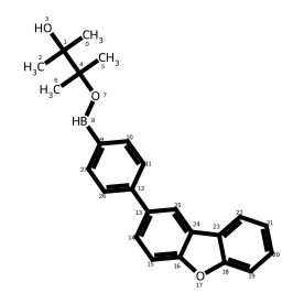 CC(C)(O)C(C)(C)OBc1ccc(-c2ccc3oc4ccccc4c3c2)cc1